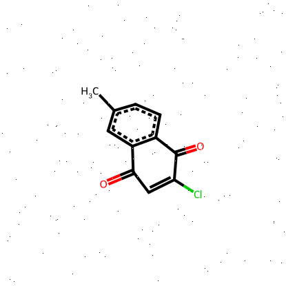 Cc1ccc2c(c1)C(=O)C=C(Cl)C2=O